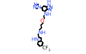 FC(F)(F)c1ccc2[nH]c(CNCCCCOCCNc3cc(-n4cnnc4)cc4[nH]nnc34)cc2c1